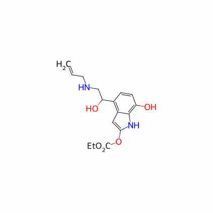 C=CCNCC(O)c1ccc(O)c2[nH]c(OC(=O)OCC)cc12